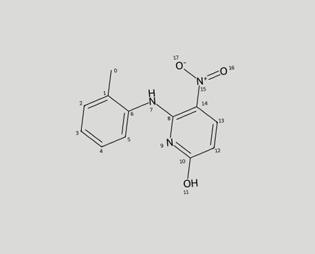 Cc1ccccc1Nc1nc(O)ccc1[N+](=O)[O-]